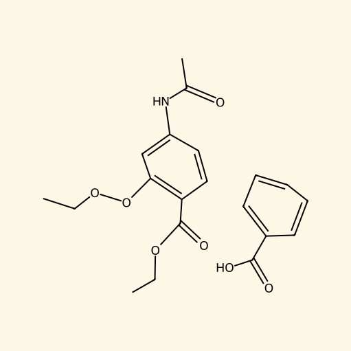 CCOOc1cc(NC(C)=O)ccc1C(=O)OCC.O=C(O)c1ccccc1